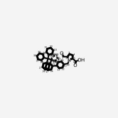 O=Cc1ccc(C(=O)O)n1Cc1ccc(-c2ccccc2C2(C(c3ccccc3)(c3ccccc3)c3ccccc3)N=NN=N2)cc1